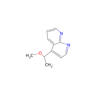 [CH2]C(OC)c1ccnc2ncccc12